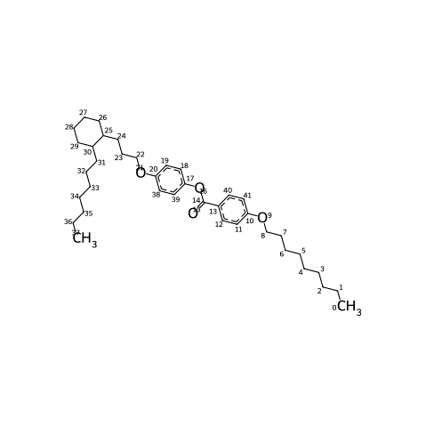 CCCCCCCCCOc1ccc(C(=O)Oc2ccc(OCCCC3CCCCC3CCCCCCC)cc2)cc1